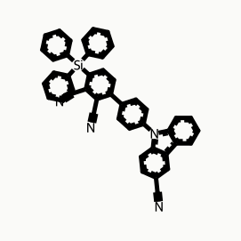 N#Cc1ccc2c(c1)c1ccccc1n2-c1ccc(-c2ccc([Si](c3ccccc3)(c3ccccc3)c3ccccc3)c(C#N)c2C#N)cc1